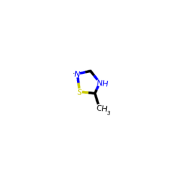 CC1NC[N]S1